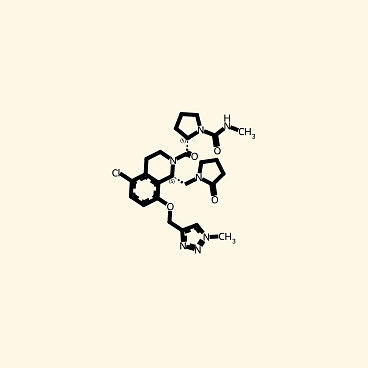 CNC(=O)N1CCC[C@H]1C(=O)N1CCc2c(Cl)ccc(OCc3cn(C)nn3)c2[C@H]1CN1CCCC1=O